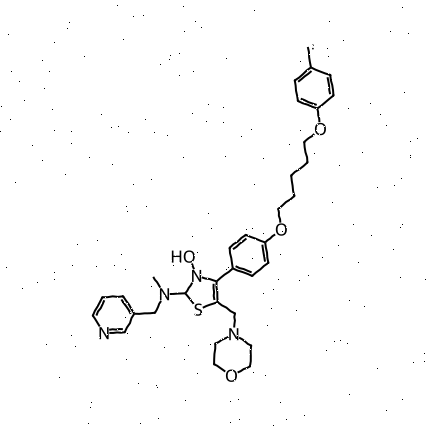 [CH]c1ccc(OCCCCCOc2ccc(C3=C(CN4CCOCC4)SC(N(C)Cc4cccnc4)N3O)cc2)cc1